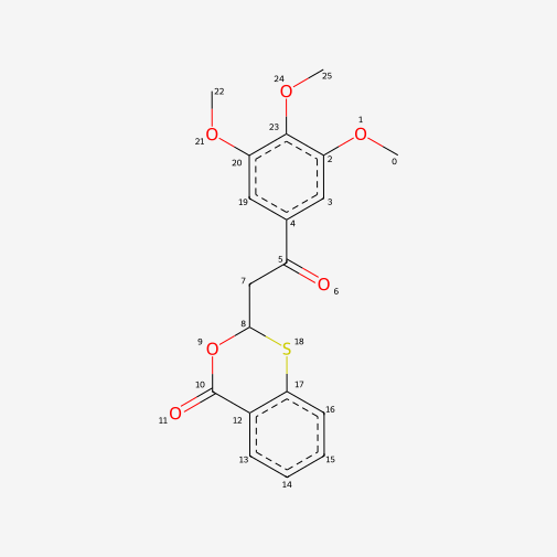 COc1cc(C(=O)CC2OC(=O)c3ccccc3S2)cc(OC)c1OC